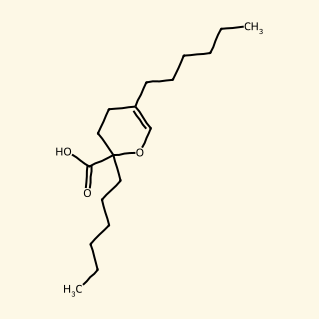 CCCCCCC1=COC(CCCCCC)(C(=O)O)CC1